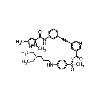 CCN(CC)CCCNc1ccc(S(C)(=O)=NC(=O)c2cncc(C#Cc3cccc(NC(=O)c4cc(C)nn4C)c3)c2)cc1